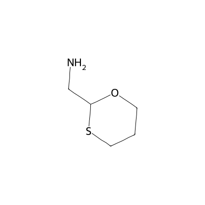 NCC1OCCCS1